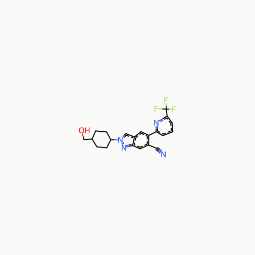 N#Cc1cc2nn(C3CCC(CO)CC3)cc2cc1-c1cccc(C(F)(F)F)n1